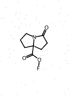 O=C1CCC2(C(=O)OF)CCCN12